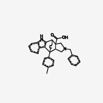 Cc1ccc(C23CCC(c4[nH]c5ccccc5c42)C2(C(=O)O)CN(Cc4ccccc4)CC32)cc1